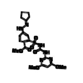 COC(=O)c1ccc(NN=C2CCCC2)cc1S(=O)(=O)NC(=O)Nc1nc(OC)cc(OC)n1